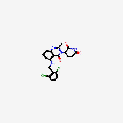 Cc1nc2cccc(NCc3c(Cl)cccc3Cl)c2c(=O)n1C1CCC(=O)NC1=O